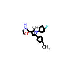 CCc1ccc(-c2cc(C3CNCCO3)c(C)n2-c2ccc(F)cc2)cc1